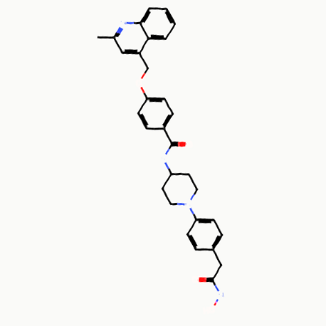 Cc1cc(COc2ccc(C(=O)NC3CCN(c4ccc(CC(=O)NO)cc4)CC3)cc2)c2ccccc2n1